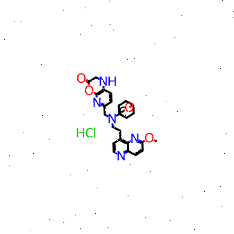 COc1ccc2nccc(CCN(Cc3ccc4c(n3)OC(=O)CN4)C34CCC(CC3)OC4)c2n1.Cl